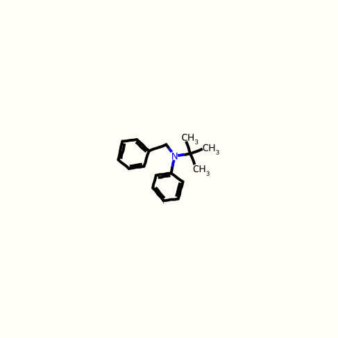 CC(C)(C)N(Cc1ccccc1)c1cc[c]cc1